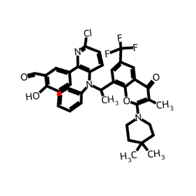 Cc1c(N2CCC(C)(C)CC2)oc2c(C(C)N(c3ccccc3)c3ccc(Cl)nc3-c3ccc(O)c(C=O)c3)cc(C(F)(F)F)cc2c1=O